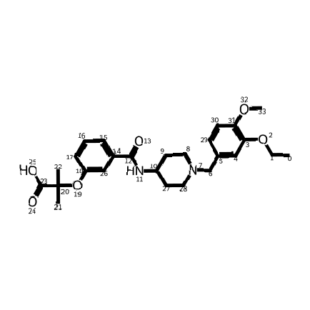 CCOc1cc(CN2CCC(NC(=O)c3cccc(OC(C)(C)C(=O)O)c3)CC2)ccc1OC